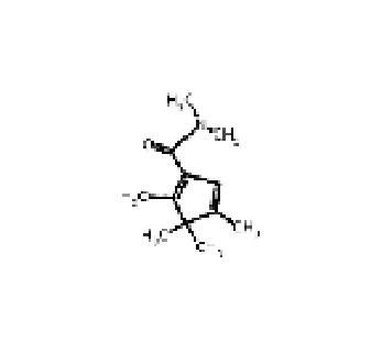 CC1=CC(C(=O)N(C)C)=C(C)C1(C)C